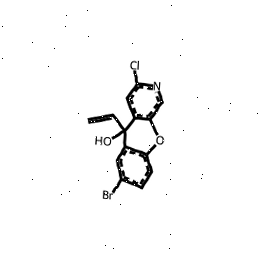 C=CC1(O)c2cc(Br)ccc2Oc2cnc(Cl)cc21